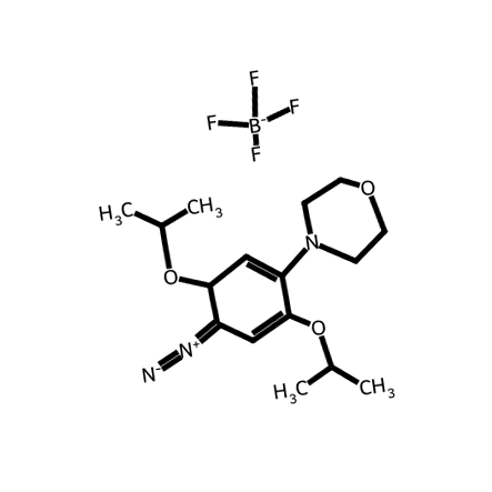 CC(C)OC1=CC(=[N+]=[N-])C(OC(C)C)C=C1N1CCOCC1.F[B-](F)(F)F